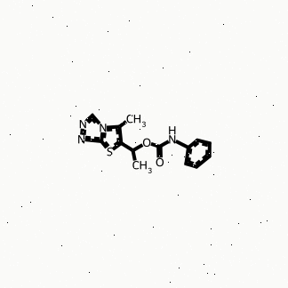 Cc1c(C(C)OC(=O)Nc2ccccc2)sc2nncn12